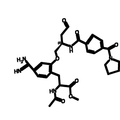 COC(=O)C(Cc1ccc(C(=N)N)cc1OC[C@@H](CC=O)NC(=O)c1ccc(C(=O)N2CCCC2)cc1)NC(C)=O